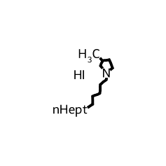 CCCCCCCCCCCCN1CCC(C)C1.I